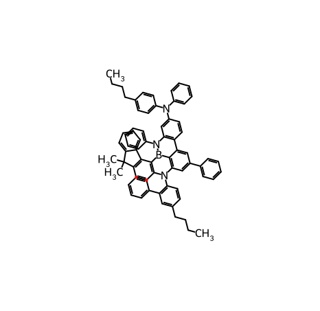 CCCCc1ccc(N(c2ccccc2)c2ccc3c(c2)N(c2ccccc2)B2c4c-3cc(-c3ccccc3)cc4N(c3ccc(CCCC)cc3-c3ccccc3)c3ccc4c(c32)-c2ccccc2C4(C)C)cc1